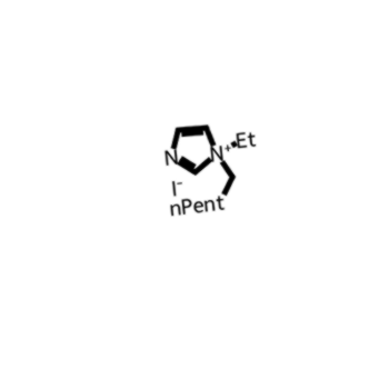 CCCCCC[N+]1(CC)C=CN=C1.[I-]